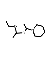 CCOC(C)OC(C)N1CCCCC1